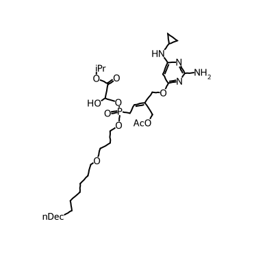 CCCCCCCCCCCCCCCCOCCCOP(=O)(C/C=C(\COC(C)=O)COc1cc(NC2CC2)nc(N)n1)OC(O)C(=O)OC(C)C